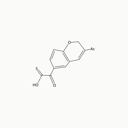 CC(=O)C1=Cc2cc(C(=O)C(O)=S)ccc2OC1